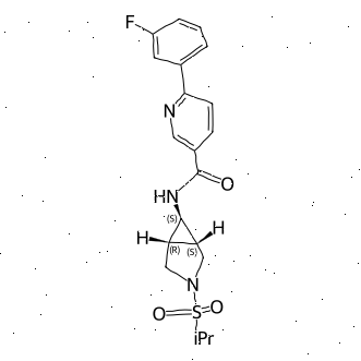 CC(C)S(=O)(=O)N1C[C@@H]2[C@H](C1)[C@H]2NC(=O)c1ccc(-c2cccc(F)c2)nc1